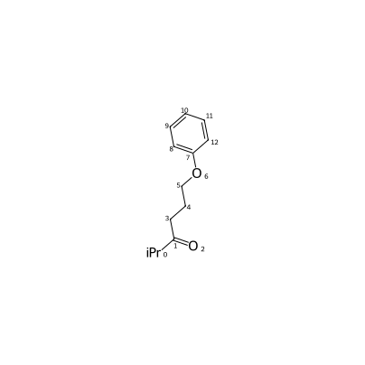 CC(C)C(=O)CCCOc1ccccc1